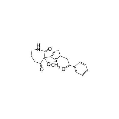 COC1(C2=CCC(CC(=O)c3ccccc3)S2)C(=O)CCCNC1=O